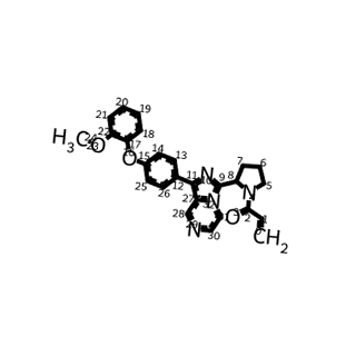 C=CC(=O)N1CCCC1c1nc(-c2ccc(Oc3ccccc3OC)cc2)c2cnccn12